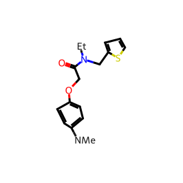 CCN(Cc1cccs1)C(=O)COc1ccc(NC)cc1